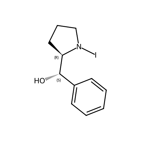 O[C@@H](c1ccccc1)[C@H]1CCCN1I